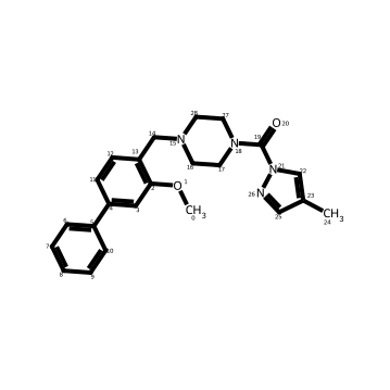 COc1cc(-c2ccccc2)ccc1CN1CCN(C(=O)n2cc(C)cn2)CC1